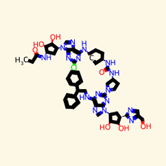 CCC(=O)N[C@H]1C[C@@H](n2cnc3c(N[C@H]4CC[C@@H](NC(=O)N[C@@H]5CCN(c6nc(NCC(c7ccccc7)c7ccccc7)c7ncn([C@@H]8C[C@H](C9N=CC(CO)=N9)[C@@H](O)[C@H]8O)c7n6)C5)CC4)nc(Cl)nc32)[C@H](O)[C@@H]1O